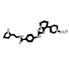 CCOC(=O)N1CC=C(c2cccn3nc(Nc4ccc(C(=O)NCCC5CCCN5)cc4)nc23)CC1